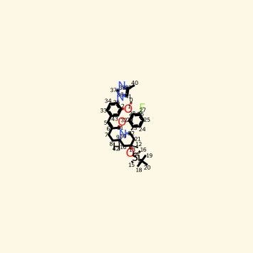 COc1cc(C=C2CC[C@@H]3C[C@@](C)(O[Si](C)(C)C(C)(C)C)C[C@@H](c4ccc(F)cc4)N3C2=O)ccc1-n1cnc(C)c1